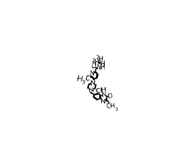 [2H]C([2H])([2H])NC(=O)c1ccc(N2CCN(Cc3ccc4nc(CC)c(=O)[nH]c4c3Cl)CC2)c(C)n1